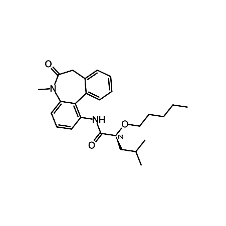 CCCCCO[C@@H](CC(C)C)C(=O)Nc1cccc2c1-c1ccccc1CC(=O)N2C